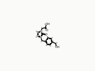 O=C(O)Cn1nnn(Cc2ccc(CO)cc2)c1=O